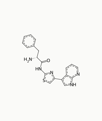 N[C@H](Cc1ccccc1)C(=O)Nc1nc(-c2c[nH]c3ncccc23)cs1